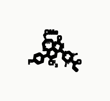 C=CC(=O)N1[C@H](C)CN(c2nc(=O)n3c4c(c(-c5ccc(F)cc5)c(C(F)(F)F)cc24)SC[C@H](COC)C3)C[C@@H]1C